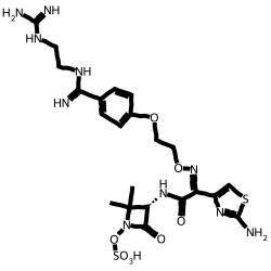 CC1(C)[C@H](NC(=O)/C(=N\OCCOc2ccc(C(=N)NCCNC(=N)N)cc2)c2csc(N)n2)C(=O)N1OS(=O)(=O)O